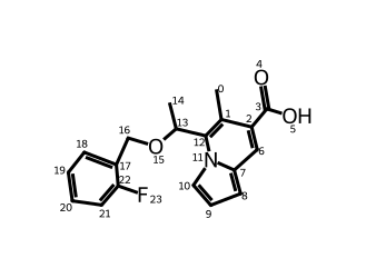 Cc1c(C(=O)O)cc2cccn2c1C(C)OCc1ccccc1F